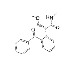 CNC(=O)C(=NOC)c1ccccc1C(=O)c1ccccc1